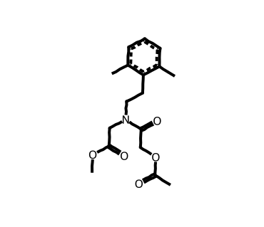 COC(=O)CN(CCc1c(C)cccc1C)C(=O)COC(C)=O